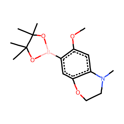 COc1cc2c(cc1B1OC(C)(C)C(C)(C)O1)OCCN2C